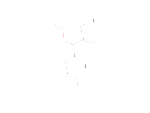 C=CC(=O)C(OC=O)C1CCNCC1